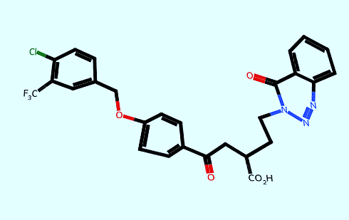 O=C(CC(CCn1nnc2ccccc2c1=O)C(=O)O)c1ccc(OCc2ccc(Cl)c(C(F)(F)F)c2)cc1